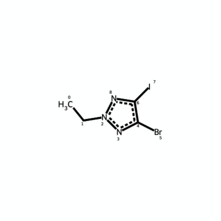 CCn1nc(Br)c(I)n1